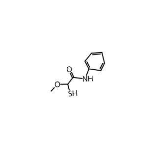 COC(S)C(=O)Nc1ccccc1